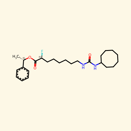 C[C@H](OC(=O)[C@@H](F)CCCCCCNC(=O)NC1CCCCCCC1)c1ccccc1